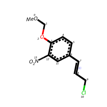 COCOc1ccc(/C=C/CCl)cc1[N+](=O)[O-]